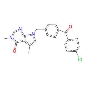 Cc1cn(Cc2ccc(C(=O)c3ccc(Cl)cc3)cc2)c2ncn(C)c(=O)c12